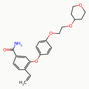 C=Cc1ccc(C(N)=O)cc1Oc1ccc(OCCOC2CCOCC2)cc1